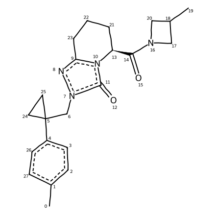 Cc1ccc(C2(Cn3nc4n(c3=O)[C@H](C(=O)N3CC(C)C3)CCC4)CC2)cc1